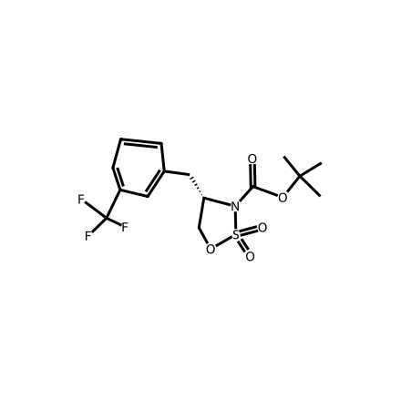 CC(C)(C)OC(=O)N1[C@@H](Cc2cccc(C(F)(F)F)c2)COS1(=O)=O